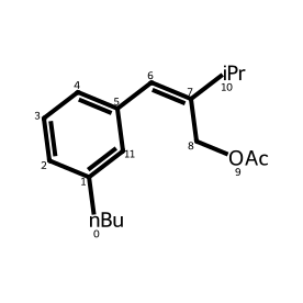 CCCCc1cccc(C=C(COC(C)=O)C(C)C)c1